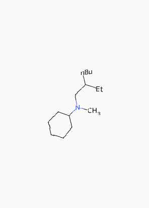 CCCCC(CC)CN(C)C1CCCCC1